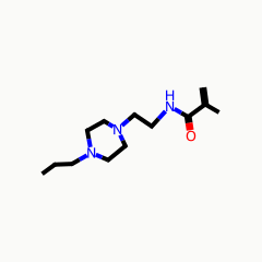 C=C(C)C(=O)NCCN1CCN(CCC)CC1